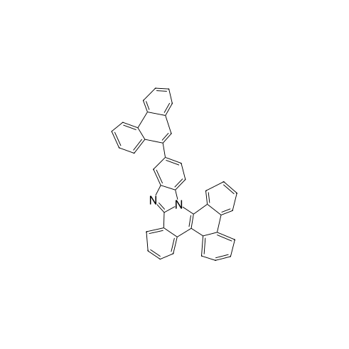 c1ccc2c(c1)cc(-c1ccc3c(c1)nc1c4ccccc4c4c5ccccc5c5ccccc5c4n31)c1ccccc12